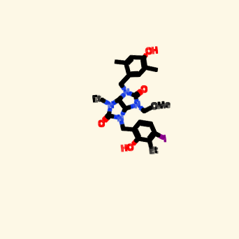 CCc1c(I)ccc(CN2C(=O)N(CC)C3C2N(COC)C(=O)N3Cc2cc(C)c(O)cc2C)c1O